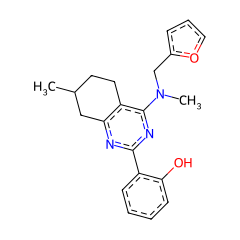 CC1CCc2c(nc(-c3ccccc3O)nc2N(C)Cc2ccco2)C1